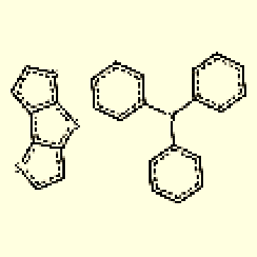 c1cc2c(s1)sc1ccsc12.c1ccc(N(c2ccccc2)c2ccccc2)cc1